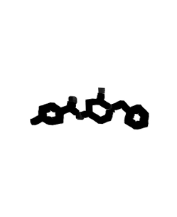 Cc1ccc(C(=O)OC2CCN(Cc3ccccc3)C(F)C2)cc1